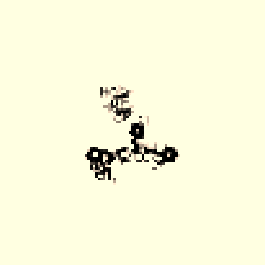 CS(=O)(=O)NCC(CC1CCCCC1)N1CCN(C(=O)C(Cc2ccc(Cl)cc2)NC(=O)CC2NCc3ccccc32)CC1.O=C(O)C(F)(F)F.O=C(O)C(F)(F)F